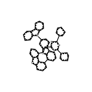 c1ccc(-c2nc(CCc3cccc4sc5cccc(-c6cccc7c6oc6cc(-n8c9ccccc9c9ccccc98)ccc67)c5c34)nc(-c3ccccc3)n2)cc1